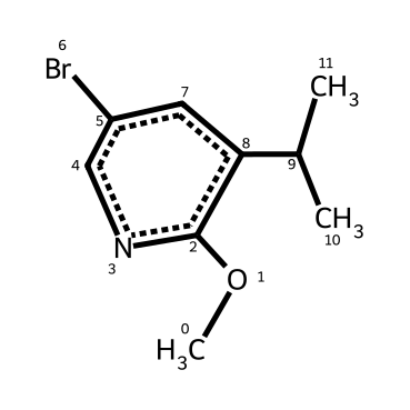 COc1ncc(Br)cc1C(C)C